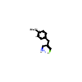 CSc1ccc(CC(=CF)CN)cc1